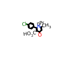 CCCn1c(C)cc(=O)c(C(=O)O)c1-c1ccc(Cl)cc1